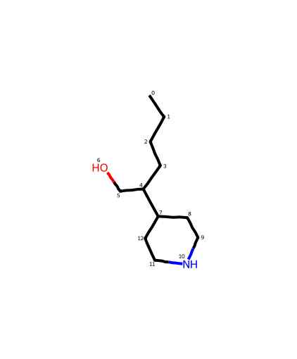 CCCCC(CO)C1CCNCC1